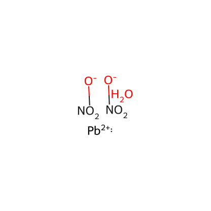 O.O=[N+]([O-])[O-].O=[N+]([O-])[O-].[Pb+2]